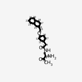 CC(=O)[C@@H](N)CNC(=O)Cc1ccc(OCc2ccc3ccccc3c2)cc1